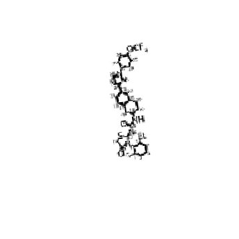 CCc1cccc(C)c1N1C(=O)CSC1=NC(=O)NC1CCc2cc(-c3ncn(-c4ccc(OC(F)(F)F)cc4)n3)ccc2C1